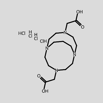 Cl.Cl.Cl.Cl.O=C(O)CN1CCN2CCCN(CC1)CCN(CC(=O)O)CC2